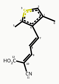 Cc1csc(C)c1C=CC=C(C#N)C(=O)O